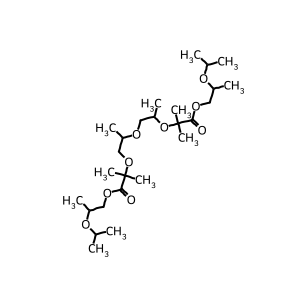 CC(C)OC(C)COC(=O)C(C)(C)OCC(C)OCC(C)OC(C)(C)C(=O)OCC(C)OC(C)C